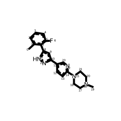 Cc1cccc(F)c1-c1cc(-c2ccc(N3CCN(C)CC3)nc2)n[nH]1